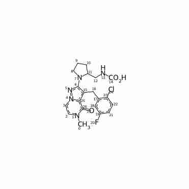 Cn1ccn2nc(N3CCCC3CNC(=O)O)c(Cc3cc(F)ccc3Cl)c2c1=O